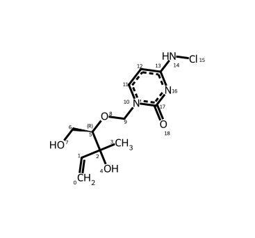 C=CC(C)(O)[C@@H](CO)OCn1ccc(NCl)nc1=O